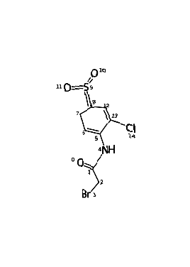 O=C(CBr)NC1=CCC(=S(=O)=O)C=C1Cl